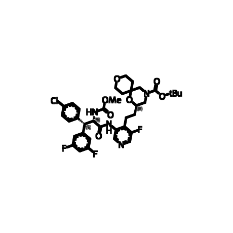 COC(=O)N[C@H](C(=O)Nc1cncc(F)c1CC[C@@H]1CN(C(=O)OC(C)(C)C)CC2(CCOCC2)O1)[C@@H](c1ccc(Cl)cc1)c1cc(F)cc(F)c1